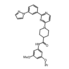 COc1cc(NC(=O)C2CCN(c3ccnc(-c4cccc(-n5cccn5)c4)n3)CC2)cc(OC(C)C)c1